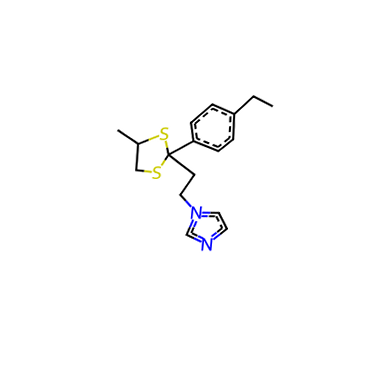 CCc1ccc(C2(CCn3ccnc3)SCC(C)S2)cc1